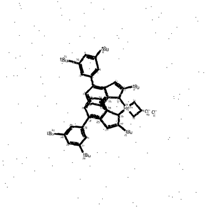 CC(C)(C)C1=Cc2c(-c3cc(C(C)(C)C)cc(C(C)(C)C)c3)cccc2[CH]1[Hf+2]1([CH]2C(C(C)(C)C)=Cc3c(-c4cc(C(C)(C)C)cc(C(C)(C)C)c4)cccc32)[CH2]C[CH2]1.[Cl-].[Cl-]